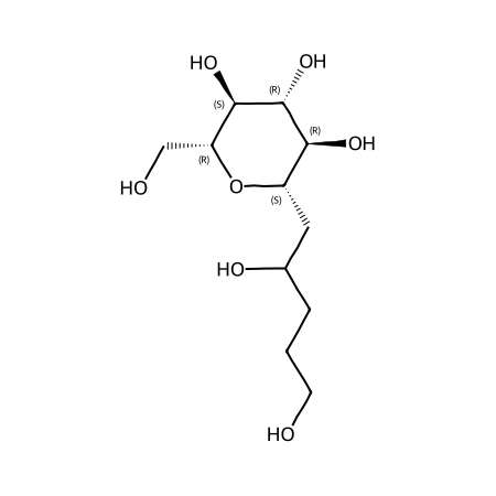 OCCCC(O)C[C@@H]1O[C@H](CO)[C@@H](O)[C@H](O)[C@H]1O